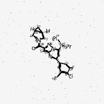 CCCN(c1cc(-c2cc(F)c(Cl)c(F)c2)nc2cc(C(=O)N3C[C@H]4C[C@H]4C3)nn12)C(C)C